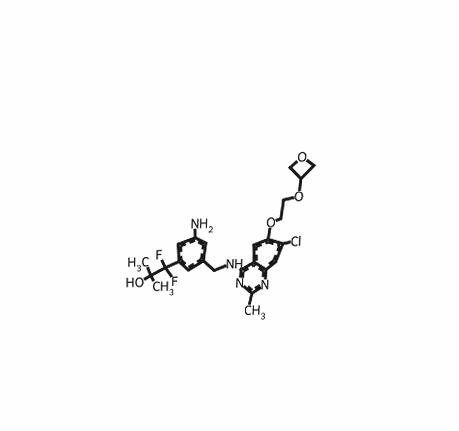 Cc1nc(NCc2cc(N)cc(C(F)(F)C(C)(C)O)c2)c2cc(OCCOC3COC3)c(Cl)cc2n1